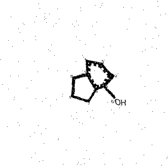 Oc1cccc2c1[CH]CC2